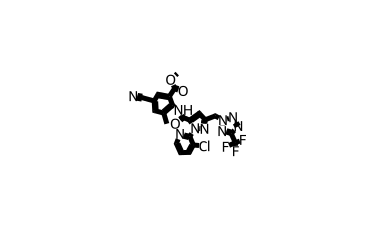 COC(=O)c1cc(C#N)cc(C)c1NC(=O)c1cc(Cn2nnc(C(F)(F)F)n2)nn1-c1ncccc1Cl